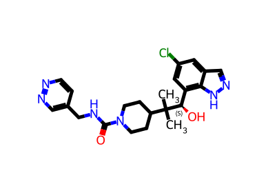 CC(C)(C1CCN(C(=O)NCc2ccnnc2)CC1)[C@H](O)c1cc(Cl)cc2cn[nH]c12